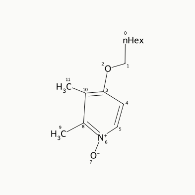 CCCCCCCOc1cc[n+]([O-])c(C)c1C